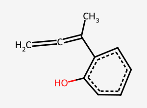 C=C=C(C)c1ccccc1O